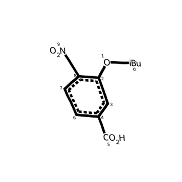 CCC(C)Oc1cc(C(=O)O)ccc1[N+](=O)[O-]